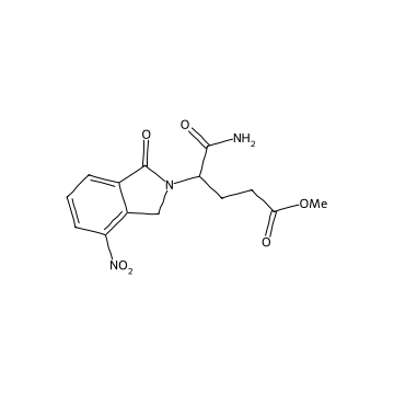 COC(=O)CCC(C(N)=O)N1Cc2c(cccc2[N+](=O)[O-])C1=O